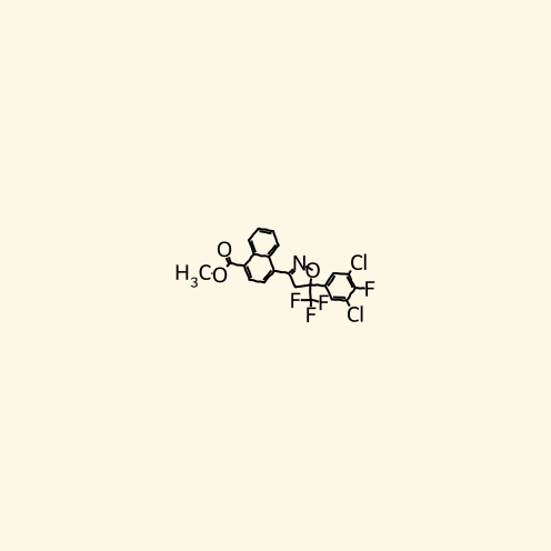 COC(=O)c1ccc(C2=NOC(c3cc(Cl)c(F)c(Cl)c3)(C(F)(F)F)C2)c2ccccc12